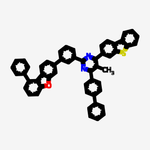 Cc1c(-c2ccc(-c3ccccc3)cc2)nc(-c2cccc(-c3ccc4c(c3)oc3cccc(-c5ccccc5)c34)c2)nc1-c1ccc2c(c1)sc1ccccc12